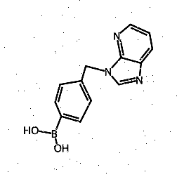 OB(O)c1ccc(Cn2cnc3cccnc32)cc1